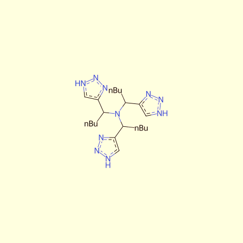 CCCCC(c1c[nH]nn1)N(C(CCCC)c1c[nH]nn1)C(CCCC)c1c[nH]nn1